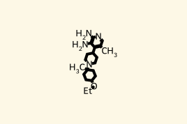 CCOC1CCC(C)(N2CCC(c3c(C)cnc(N)c3N)CC2)CC1